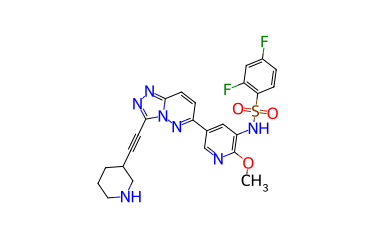 COc1ncc(-c2ccc3nnc(C#CC4CCCNC4)n3n2)cc1NS(=O)(=O)c1ccc(F)cc1F